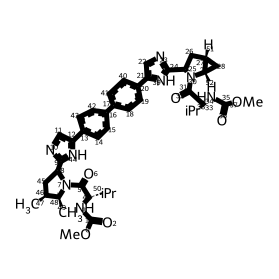 COC(=O)N[C@H](C(=O)N1C(c2ncc(-c3ccc(-c4ccc(-c5cnc(C6C[C@@H]7C[C@@H]7N6C(=O)[C@@H](NC(=O)OC)C(C)C)[nH]5)cc4)cc3)[nH]2)C[C@H](C)[C@@H]1C)C(C)C